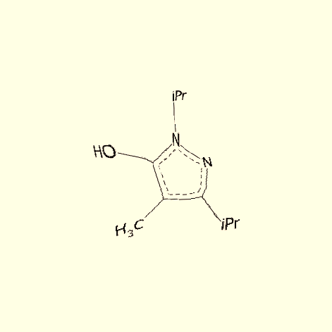 Cc1c(C(C)C)nn(C(C)C)c1O